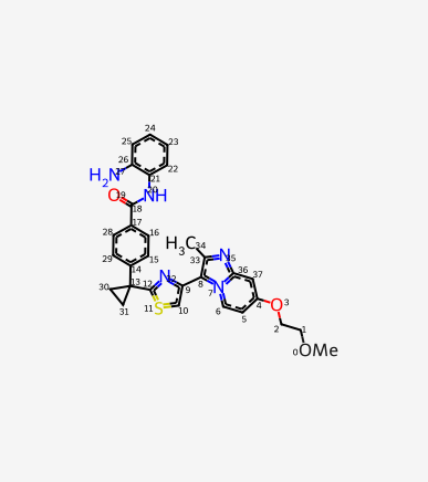 COCCOc1ccn2c(-c3csc(C4(c5ccc(C(=O)Nc6ccccc6N)cc5)CC4)n3)c(C)nc2c1